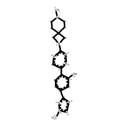 CN1CCC2(CC1)CN(c1ncc(-c3ccc(-c4nnn(C)n4)cc3O)nn1)C2